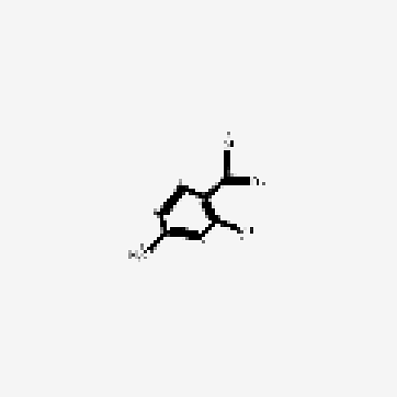 Cc1ccc(C(=O)S)c([N+](=O)[O-])c1